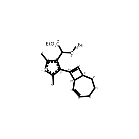 CCOC(=O)C(OC(C)(C)C)c1c(C)sc(C)c1C1=CC2CCCC=CC12